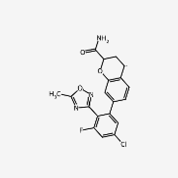 Cc1nc(-c2c(F)cc(Cl)cc2-c2ccc3c(c2)OC(C(N)=O)C[CH]3)no1